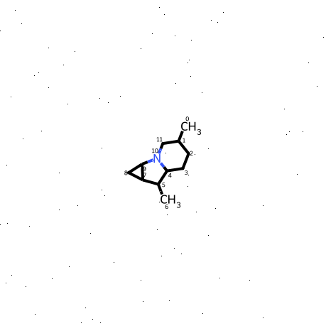 CC1CCC2C(C)C3CC3N2C1